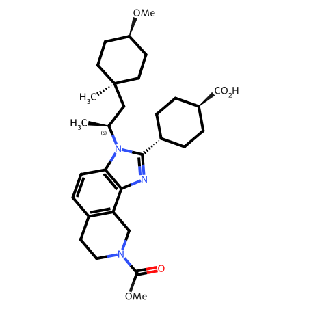 COC(=O)N1CCc2ccc3c(nc([C@H]4CC[C@H](C(=O)O)CC4)n3[C@@H](C)C[C@]3(C)CC[C@H](OC)CC3)c2C1